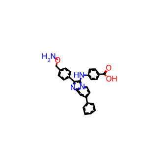 NOCc1ccc(-c2nc3cc(-c4ccccc4)ccn3c2Nc2ccc(C(=O)O)cc2)cc1